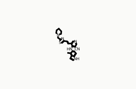 Cc1c(Nc2c(C#N)cncc2/C=C/c2csc(CN3CCCCC3)n2)ccc2[nH]ccc12